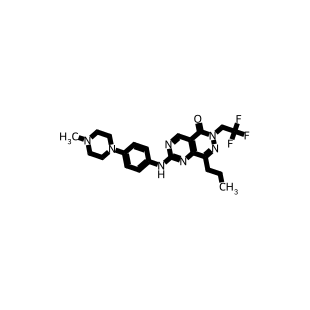 CCCc1nn(CC(F)(F)F)c(=O)c2cnc(Nc3ccc(N4CCN(C)CC4)cc3)nc12